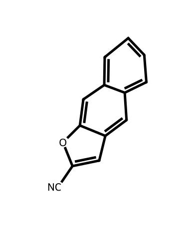 N#Cc1cc2cc3ccccc3cc2o1